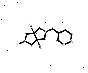 CC(C)(C)N1C[C@H]2CN(CC3CCCCC3)C[C@H]2C1